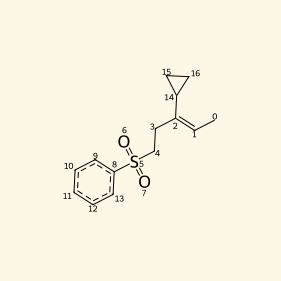 CC=C(CCS(=O)(=O)c1ccccc1)C1CC1